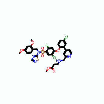 COC(=O)CCNCc1cc(-c2cc(Cl)ccc2Oc2cc(F)c(S(=O)(=O)N(Cc3ccc(OC)cc3OC)c3ncns3)cc2Cl)ccn1